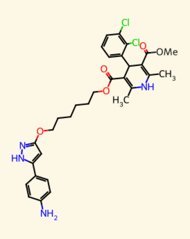 COC(=O)C1=C(C)NC(C)=C(C(=O)OCCCCCCOc2cc(-c3ccc(N)cc3)[nH]n2)C1c1cccc(Cl)c1Cl